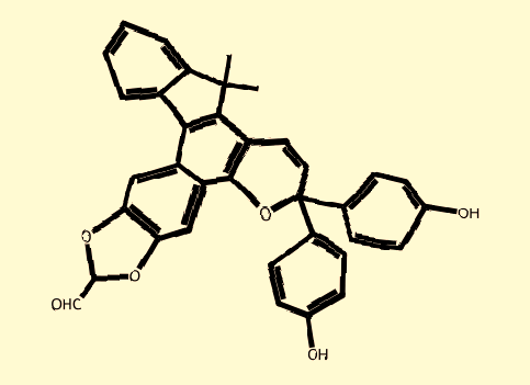 CC1(C)c2ccccc2-c2c1c1c(c3cc4c(cc23)OC(C=O)O4)OC(c2ccc(O)cc2)(c2ccc(O)cc2)C=C1